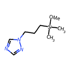 CO[Si](C)(C)CCCn1cncn1